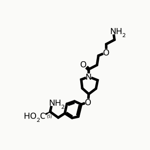 NCCOCCC(=O)N1CCC(Oc2ccc(C[C@H](N)C(=O)O)cc2)CC1